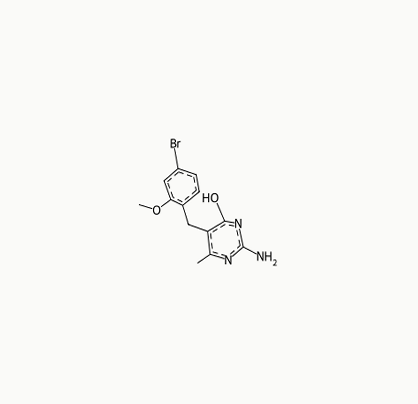 COc1cc(Br)ccc1Cc1c(C)nc(N)nc1O